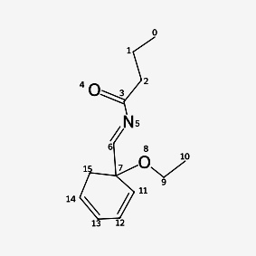 CCCC(=O)/N=C/C1(OCC)C=CC=CC1